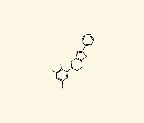 Fc1cc(F)c(F)c(N2CCc3oc(-c4ccccn4)nc3C2)c1